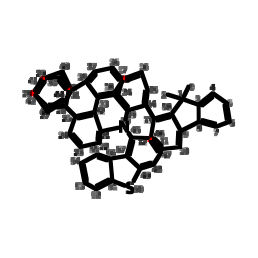 CC1(C)c2ccccc2-c2cccc(-c3ccccc3N(c3cccc(-c4ccccc4)c3-c3ccccc3-c3ccccc3)c3cccc4sc5ccccc5c34)c21